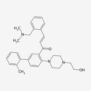 Cc1ccccc1-c1ccc(N2CCN(CCO)CC2)c(C(=O)C=Cc2ccccc2CN(C)C)c1